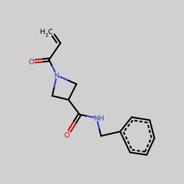 C=CC(=O)N1CC(C(=O)NCc2ccccc2)C1